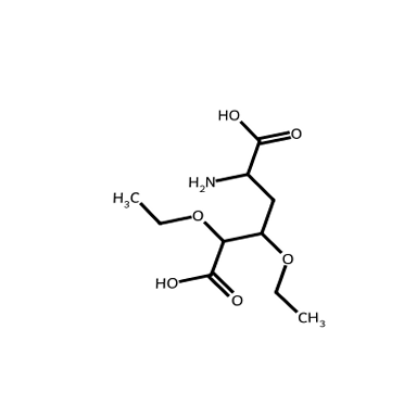 CCOC(CC(N)C(=O)O)C(OCC)C(=O)O